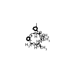 CCC[C@@H]1NC(=O)[C@@H](C(C)C)NC(=O)[C@@H](Cc2cccc(I)c2)NCCOc2ccccc2CC(C)CNC1=O